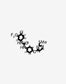 CSc1nccc(Oc2ccc(NC(=O)Nc3ccc(Cl)c(C(F)(F)F)c3)cc2)n1